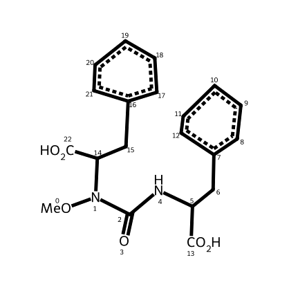 CON(C(=O)NC(Cc1ccccc1)C(=O)O)C(Cc1ccccc1)C(=O)O